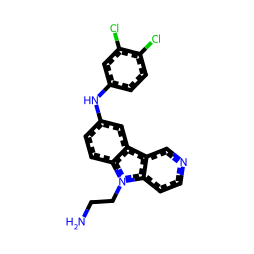 NCCn1c2ccncc2c2cc(Nc3ccc(Cl)c(Cl)c3)ccc21